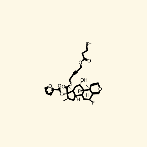 CC(C)CCC(=O)OCC#CCSC(=O)[C@@]1(OC(=O)c2ccco2)[C@H](C)C[C@H]2[C@@H]3C[C@H](F)C4=COC=C[C@]4(C)[C@@]3(F)[C@@H](O)C[C@@]21C